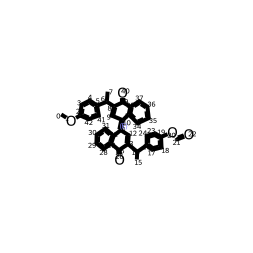 COc1ccc(C(C)C2=C/C(=C3/C=C(C(C)c4ccc(OC=O)cc4)C(=O)c4ccccc43)c3ccccc3C2=O)cc1